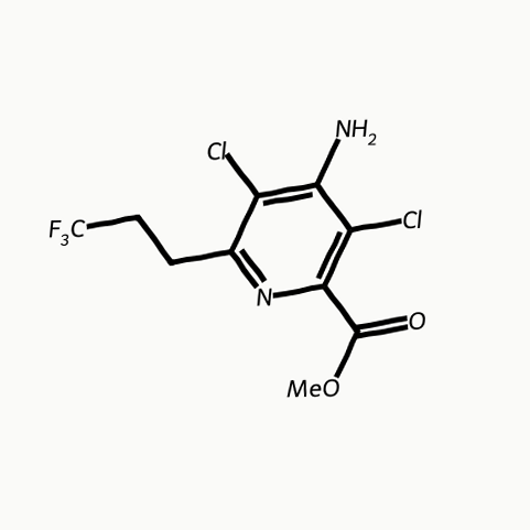 COC(=O)c1nc(CCC(F)(F)F)c(Cl)c(N)c1Cl